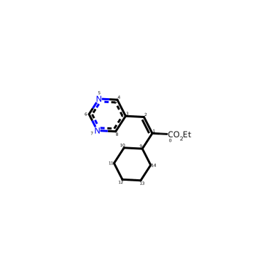 CCOC(=O)C(=Cc1cncnc1)C1CCCCC1